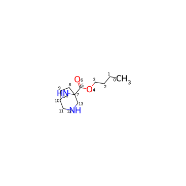 CCCCOC(=O)C12CCC(CNC1)N2